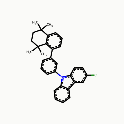 CC1(C)CCC(C)(C)c2c(-c3cccc(-n4c5ccccc5c5cc(Cl)ccc54)c3)cccc21